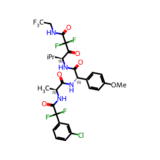 COc1ccc([C@H](NC(=O)[C@H](C)NC(=O)C(F)(F)c2cccc(Cl)c2)C(=O)N[C@H](C(=O)C(F)(F)C(=O)NCC(F)(F)F)C(C)C)cc1